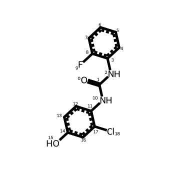 O=C(Nc1ccccc1F)Nc1ccc(O)cc1Cl